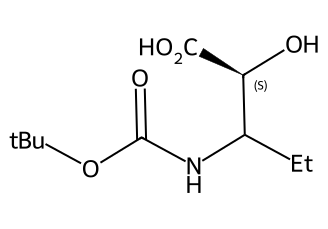 CCC(NC(=O)OC(C)(C)C)[C@H](O)C(=O)O